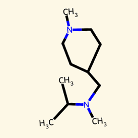 CC(C)N(C)CC1CCN(C)CC1